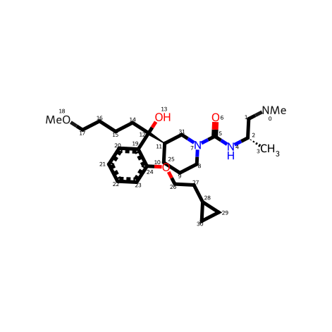 CNC[C@H](C)NC(=O)N1CCC[C@@H](C(O)(CCCCOC)c2ccccc2OCCC2CC2)C1